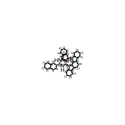 c1ccc(C2NC(c3ccc4ccccc4c3)NC(n3c4ccccc4c4ccc5c6ccccc6n(-c6ccccc6)c5c43)N2)cc1